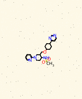 CS(=O)(=O)NC1CCN(c2ccccn2)CC1COC1CCC(c2ccncn2)CC1